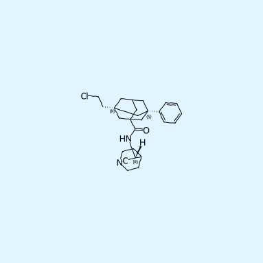 O=C(N[C@H]1CN2CCC1CC2)C12CC3C[C@](CCCl)(C1)C[C@@](c1ccccc1)(C3)C2